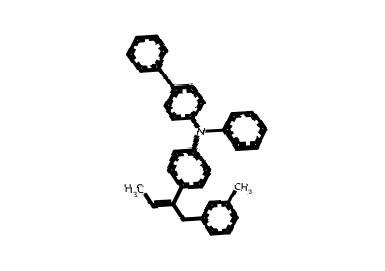 C/C=C(/Cc1cccc(C)c1)c1ccc(N(c2ccccc2)c2ccc(-c3ccccc3)cc2)cc1